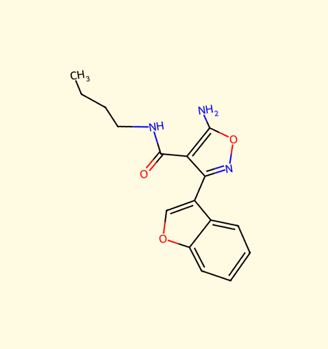 CCCCNC(=O)c1c(-c2coc3ccccc23)noc1N